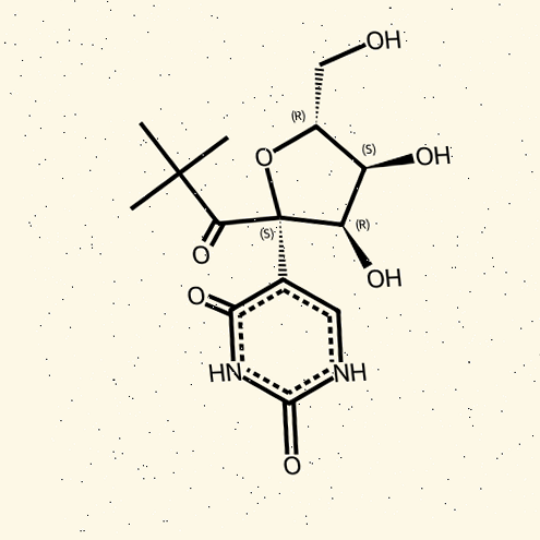 CC(C)(C)C(=O)[C@@]1(c2c[nH]c(=O)[nH]c2=O)O[C@H](CO)[C@@H](O)[C@H]1O